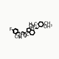 C[C@@H]1C[C@H](C(=O)CNc2ccc(F)cc2C#N)[C@@]2(C)CCC[C@@H](CC[C@@H]3C[C@](C)(O)CC[C@@H]3C)[C@H]12